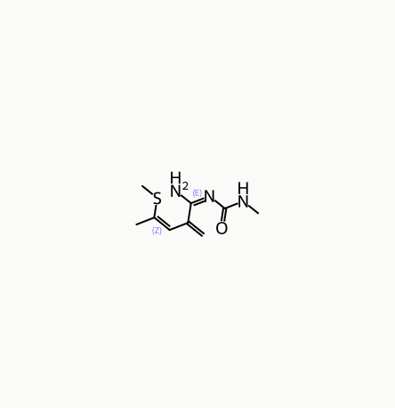 C=C(/C=C(/C)SC)/C(N)=N\C(=O)NC